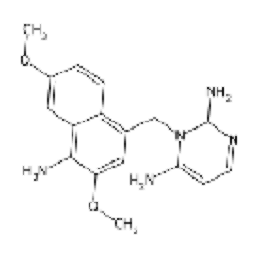 COc1ccc2c(CN3C(N)=CC=NC3N)cc(OC)c(N)c2c1